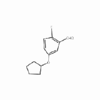 O=Cc1cc(OC2CCCC2)ccc1F